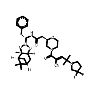 CC1(C)[C@@H]2C[C@H]3OB([C@H](Cc4ccccc4)NC(=O)C[C@@H]4CN(C(=O)C(C#N)=CC(C)(C)N5CCC(F)(F)C5)CCO4)O[C@@]3(C)[C@H]1C2